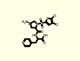 N[C@@H]1CC(C(=O)NC(Cc2ccncc2)C(=O)O)N(S(=O)(=O)c2cc(Cl)c(Cl)s2)C1